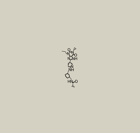 CCCn1c(=O)n(C2CC2)c(=O)c2[nH]c(-c3ccc(NCc4cccc(CNC(=O)C5CC5)c4)nc3)nc21